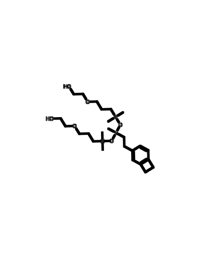 C[Si](C)(CCCOCCO)O[Si](C)(CCc1ccc2c(c1)CC2)O[Si](C)(C)CCCOCCO